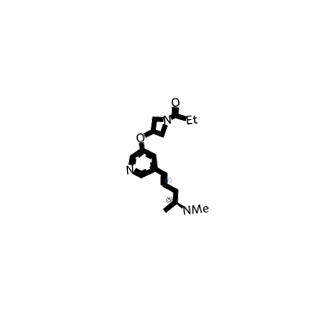 CCC(=O)N1CC(Oc2cncc(/C=C/C[C@H](C)NC)c2)C1